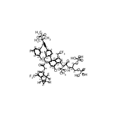 CC(C)(C#Cc1ccc(-c2ccc(Cl)c3c(N(C(=O)NC(COP(=O)(O)O)COP(=O)(O)O)S(C)(=O)=O)nn(CC(F)(F)F)c23)c([C@H](Cc2cc(F)cc(F)c2)NC(=O)Cn2nc(C(F)(F)F)c3c2C(F)(F)[C@@H]2C[C@H]32)n1)S(C)(=O)=O